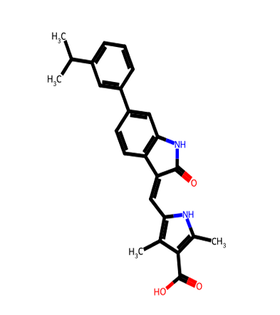 Cc1[nH]c(/C=C2\C(=O)Nc3cc(-c4cccc(C(C)C)c4)ccc32)c(C)c1C(=O)O